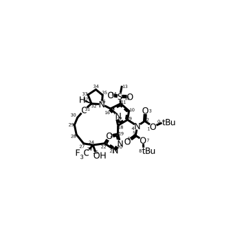 CC(C)(C)OC(=O)N(C(=O)OC(C)(C)C)c1cc(S(C)(=O)=O)c2nc1-c1nnc(o1)C(O)(C(F)(F)F)CCCCC[C@@H]1CCCN21